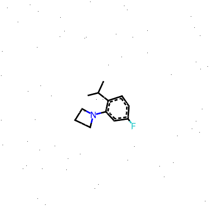 CC(C)c1ccc(F)cc1N1CCC1